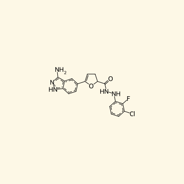 Nc1n[nH]c2ccc(C3=CCC(C(=O)NNc4cccc(Cl)c4F)O3)cc12